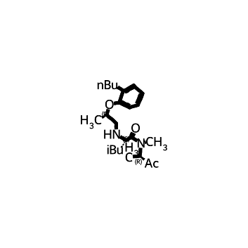 CCCCc1ccccc1O[C@H](C)CN[C@H](C(=O)N(C)[C@H](C)C(C)=O)C(C)CC